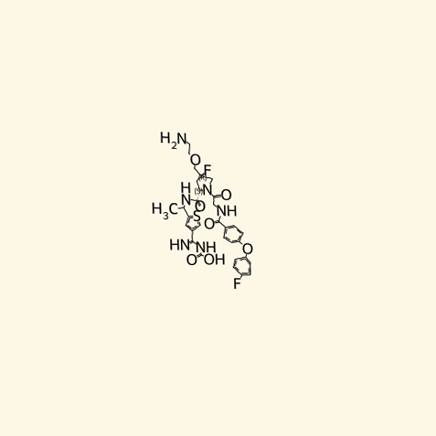 CC(NC(=O)[C@@H]1C[C@](F)(COCCN)CN1C(=O)CNC(=O)c1ccc(Oc2ccc(F)cc2)cc1)c1cc(C(=N)NC(=O)O)cs1